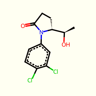 C[C@@H](O)[C@H]1CCC(=O)N1c1ccc(Cl)c(Cl)c1